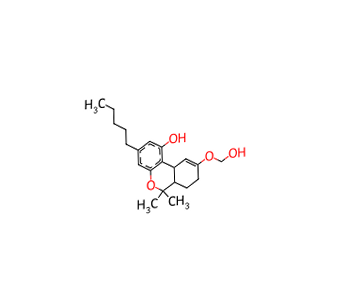 CCCCCc1cc(O)c2c(c1)OC(C)(C)C1CCC(OCO)=CC21